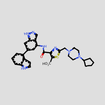 O=C(Nc1cc(-c2cccc3[nH]ccc23)cc2[nH]ncc12)c1nc(CN2CCN(C3CCCC3)CC2)sc1C(=O)O